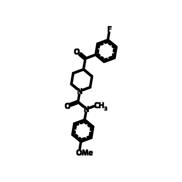 COc1ccc(N(C)C(=O)N2CCC(C(=O)c3cccc(F)c3)CC2)cc1